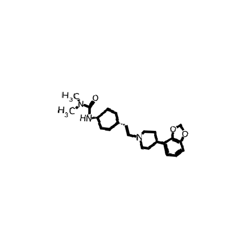 CN(C)C(=O)N[C@H]1CC[C@H](CCN2CCC(c3cccc4c3OCO4)CC2)CC1